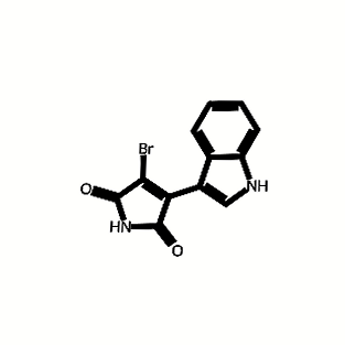 O=C1NC(=O)C(c2c[nH]c3ccccc23)=C1Br